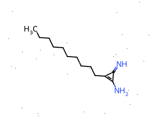 CCCCCCCCCCc1c(N)c1=N